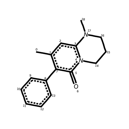 Cc1cc2n(c(=O)c1-c1ccccc1)CCCN2C